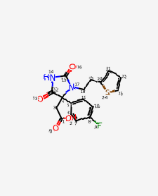 O=C(O)CC1(c2ccc(F)cc2)C(=O)NC(=O)N1CCc1cccs1